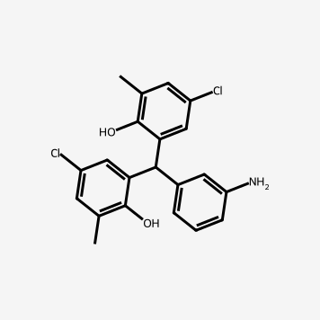 Cc1cc(Cl)cc(C(c2cccc(N)c2)c2cc(Cl)cc(C)c2O)c1O